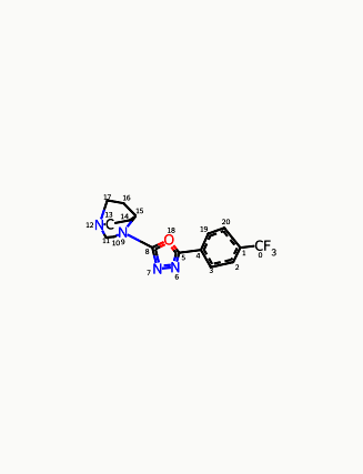 FC(F)(F)c1ccc(-c2nnc(N3CCN4CCC3CC4)o2)cc1